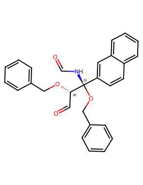 O=CN[C@](OCc1ccccc1)(c1ccc2ccccc2c1)[C@H](C=O)OCc1ccccc1